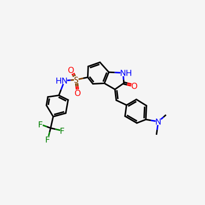 CN(C)c1ccc(C=C2C(=O)Nc3ccc(S(=O)(=O)Nc4ccc(C(F)(F)F)cc4)cc32)cc1